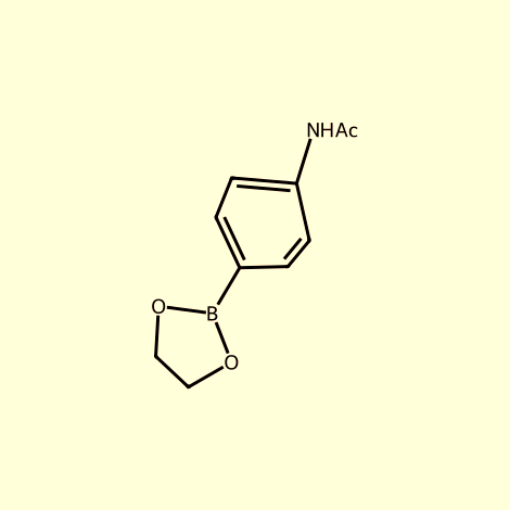 CC(=O)Nc1ccc(B2OCCO2)cc1